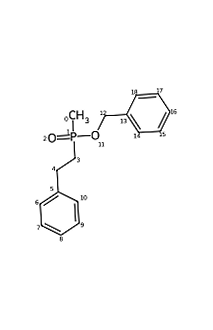 CP(=O)(CCc1ccccc1)OCc1ccccc1